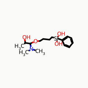 CC(O)C(OCCCC[Si](O)(O)c1ccccc1)N(C)C